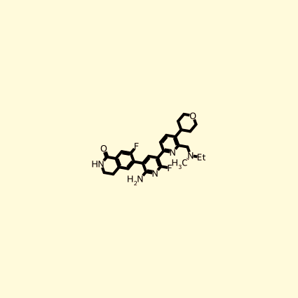 CCN(C)Cc1nc(-c2cc(-c3cc4c(cc3F)C(=O)NCC4)c(N)nc2F)ccc1C1CCOCC1